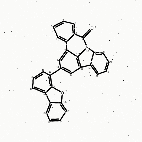 O=c1c2ccccc2c2cc(-c3cccc4c3oc3ccccc34)cc3c4ccccc4n1c23